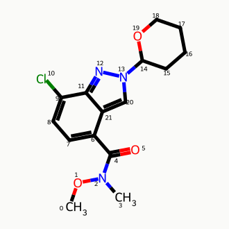 CON(C)C(=O)c1ccc(Cl)c2nn(C3CCCCO3)cc12